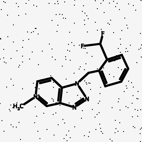 C[n+]1ccc2c(c1)nnn2Cc1ccccc1C(F)F